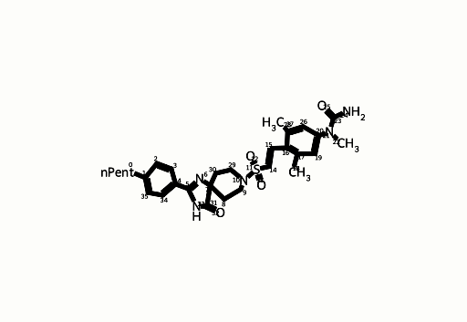 CCCCCc1ccc(C2=NC3(CCN(S(=O)(=O)C=Cc4c(C)cc(N(C)C(N)=O)cc4C)CC3)C(=O)N2)cc1